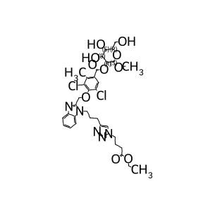 CCOC(=O)CCCn1cc(CCCn2c(COc3c(Cl)cc(C(=O)O[C@H]4[C@@H](OC)O[C@H](CO)[C@@H](O)[C@@H]4O)c(C)c3Cl)nc3ccccc32)nn1